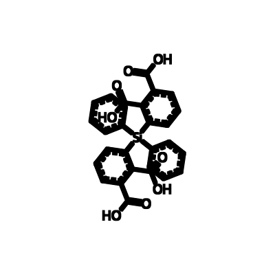 O=C(O)c1cccc([Si](c2ccccc2)(c2ccccc2)c2cccc(C(=O)O)c2C(=O)O)c1C(=O)O